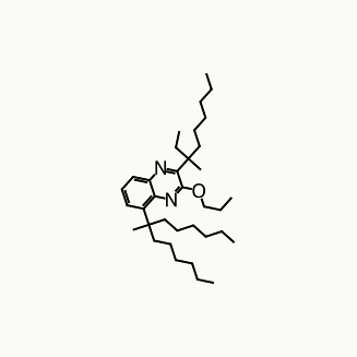 CCCCCCC(C)(CC)c1nc2cccc(C(C)(CCCCCC)CCCCCC)c2nc1OCCC